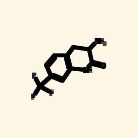 NC1Cc2ccc(C(F)(F)F)cc2NC1=O